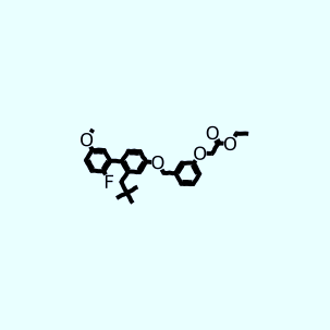 CCOC(=O)COc1cccc(COc2ccc(-c3cc(OC)ccc3F)c(CC(C)(C)C)c2)c1